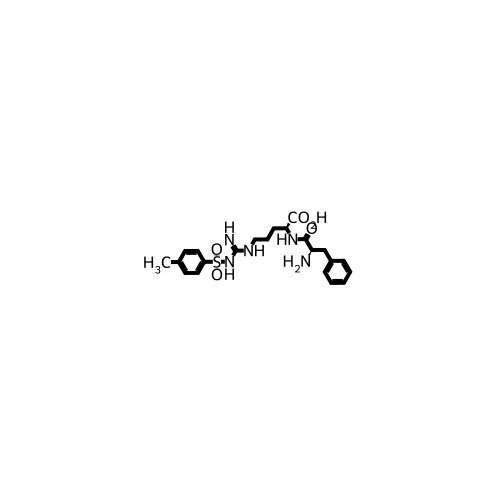 Cc1ccc(S(=O)(=O)NC(=N)NCCC[C@H](NC(=O)[C@@H](N)Cc2ccccc2)C(=O)O)cc1